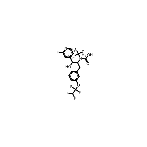 CC(C)(C)N(C(=O)O)C(Cc1cccc(OC(F)(F)C(F)F)c1)C(O)c1ccnc(F)c1